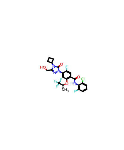 C[C@H](Oc1cc(-n2nc(CO)n(C3CCC3)c2=O)c(F)cc1C(=O)Nc1c(F)cccc1Cl)C(F)(F)F